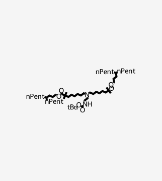 CCCCCC(CCCCC)CCCOOC(C)(C)CCCCCCN(CCCCCCC(C)(C)C(=O)OCCCC(CCCCC)CCCCC)CCNC(=O)OC(C)(C)C